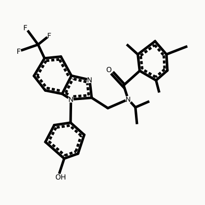 Cc1cc(C)c(C(=O)N(Cc2nc3cc(C(F)(F)F)ccc3n2-c2ccc(O)cc2)C(C)C)c(C)c1